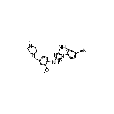 COc1cc(CN2CCN(C)CC2)ccc1Nc1nc(N)n(-c2ccc(C#N)cc2)n1